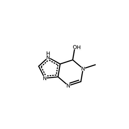 CN1C=Nc2nc[nH]c2C1O